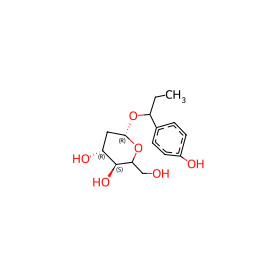 CCC(O[C@H]1C[C@@H](O)[C@H](O)C(CO)O1)c1ccc(O)cc1